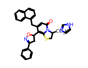 O=C(O)C1CSc2c(C3CC(c4ccccc4)=NO3)c(Cc3cccc4ccccc34)cc(=O)n21.c1c[nH]cn1